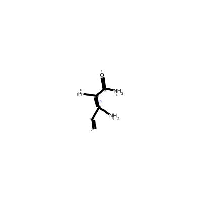 C=C/C(N)=C(/C(N)=O)C(C)C